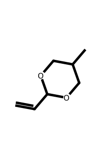 C=CC1OCC(C)CO1